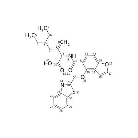 C=C(CC(CC)CC)[C@H](NC(=O)c1ccc2occc2c1OCc1nc2ccccc2s1)C(=O)O